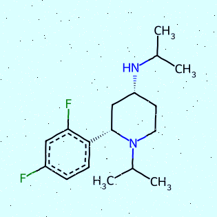 CC(C)N[C@@H]1CCN(C(C)C)[C@H](c2ccc(F)cc2F)C1